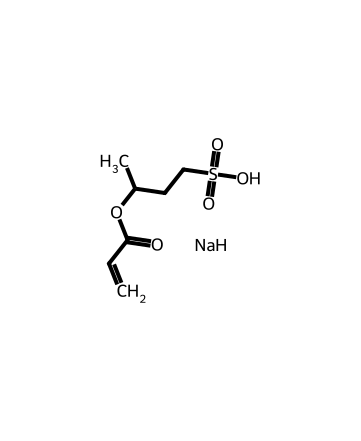 C=CC(=O)OC(C)CCS(=O)(=O)O.[NaH]